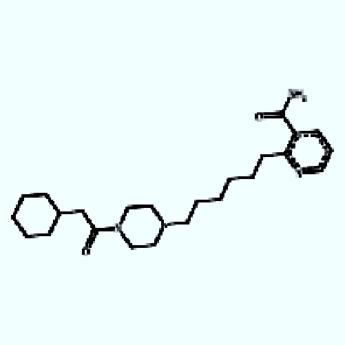 NC(=O)c1cccnc1CCCCCCN1CCN(C(=O)CC2CCCCC2)CC1